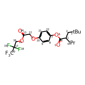 CC(C)C(CC(C)(C)C)C(=O)Oc1ccc(OCC(=O)OCC(F)(F)C(F)(F)F)cc1